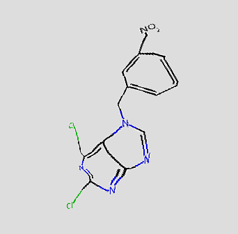 O=[N+]([O-])c1cccc(Cn2cnc3nc(Cl)nc(Cl)c32)c1